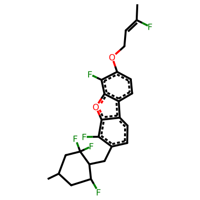 C/C(F)=C/COc1ccc2c(oc3c(F)c(CC4C(F)CC(C)CC4(F)F)ccc32)c1F